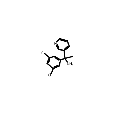 CC(N)(c1cccnc1)c1cc(Cl)cc(Cl)c1